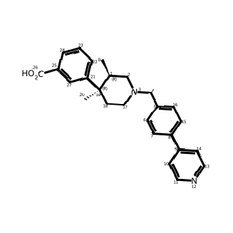 C[C@H]1CN(Cc2ccc(-c3ccncc3)cc2)CC[C@@]1(C)c1cccc(C(=O)O)c1